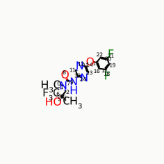 CN(C[C@@](C)(O)C(F)(F)F)C(=O)Nc1cnc(Oc2cc(F)cc(F)c2)cn1